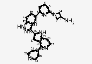 NC1CN(c2cccc(-c3ccc4[nH]nc(-c5cc6c(-c7ccncc7)nccc6[nH]5)c4n3)n2)C1